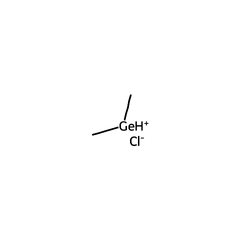 [CH3][GeH+][CH3].[Cl-]